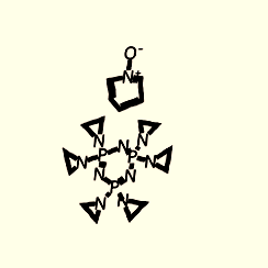 C1CN1P1(N2CC2)=NP(N2CC2)(N2CC2)=NP(N2CC2)(N2CC2)=N1.[O-][n+]1ccccc1